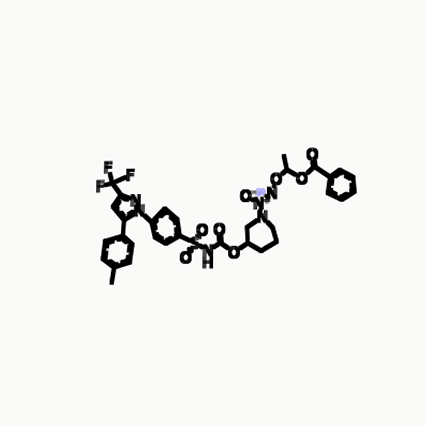 Cc1ccc(-c2cc(C(F)(F)F)nn2-c2ccc(S(=O)(=O)NC(=O)OC3CCCN(/[N+]([O-])=N/OC(C)OC(=O)c4ccccc4)C3)cc2)cc1